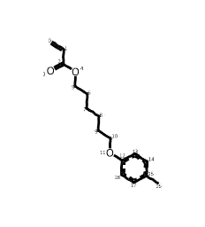 C=CC(=O)OCCCCCCOc1ccc(C)cc1